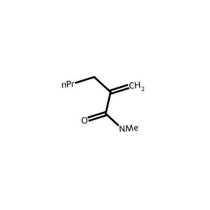 C=C(CCCC)C(=O)NC